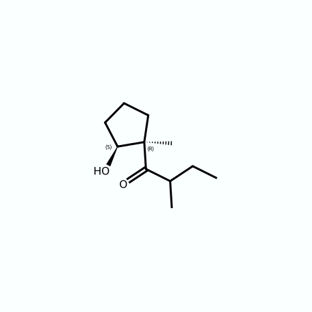 CCC(C)C(=O)[C@]1(C)CCC[C@@H]1O